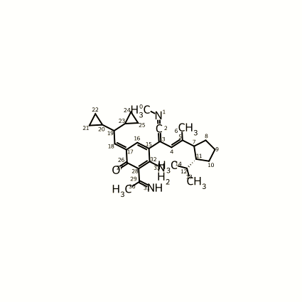 CN=C=C(/C=C(\C)C1CCC[C@@H]1C(C)C)C1=C/C(=C\C(C2CC2)C2CC2)C(=O)C(C(C)=N)=C1N